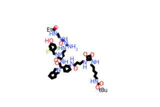 CCC(=O)NCCNC(=O)/N=C(/N)NCCC[C@@H](NC(=O)C(c1cccc(NC(=O)CCCNc2c(NCCCCCCNC(=O)OC(C)(C)C)c(=O)c2=O)c1)N1Cc2ccccc2C1)C(=O)NCc1c(F)cc(O)cc1F